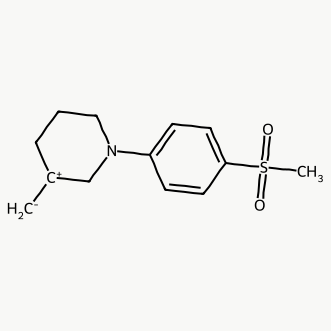 [CH2-][C+]1CCCN(c2ccc(S(C)(=O)=O)cc2)C1